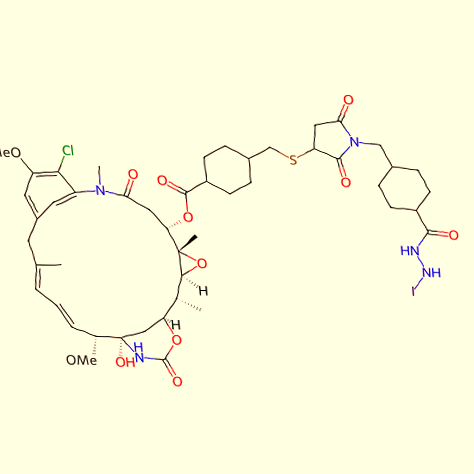 COc1cc2cc(c1Cl)N(C)C(=O)C[C@H](OC(=O)C1CCC(CSC3CC(=O)N(CC4CCC(C(=O)NNI)CC4)C3=O)CC1)[C@]1(C)O[C@H]1[C@H](C)[C@@H]1C[C@@](O)(NC(=O)O1)[C@H](OC)/C=C/C=C(\C)C2